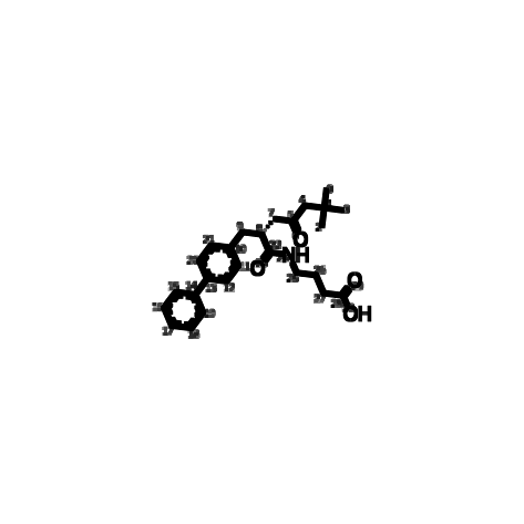 CC(C)(C)CC(=O)C[C@@H](Cc1ccc(-c2ccccc2)cc1)C(=O)NCCCC(=O)O